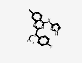 CC[C@H](c1ccc(F)cc1)c1nc(Nc2cc[nH]n2)c2ccc(I)cc2n1